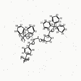 CC(C)(C)[Si](OC[C@H](CO[C@@H]1CCC[C@H](COC(c2ccccc2)(c2ccccc2)c2ccccc2)C1)OCc1ccc(C(F)(F)F)cc1)(c1ccccc1)c1ccccc1